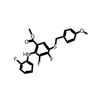 COC(=O)c1cc(SCc2ccc(OC)cc2)c(F)c(F)c1Nc1ccccc1F